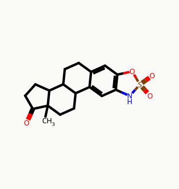 CC12CCC3c4cc5c(cc4CCC3C1CCC2=O)OS(=O)(=O)N5